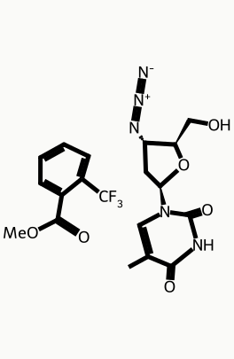 COC(=O)c1ccccc1C(F)(F)F.Cc1cn([C@H]2C[C@H](N=[N+]=[N-])[C@@H](CO)O2)c(=O)[nH]c1=O